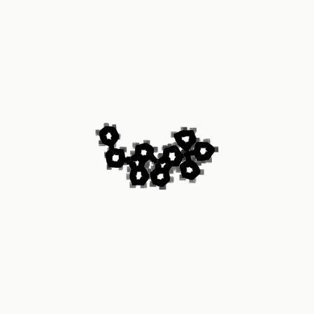 c1ccc(-c2cccc(-n3c4ccccc4c4c(-n5c6ccccc6c6cc([Si](c7ccccc7)(c7ccccc7)c7ccccc7)ccc65)cccc43)c2)cc1